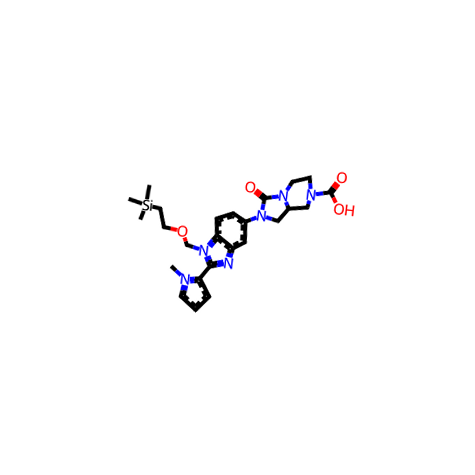 Cn1cccc1-c1nc2cc(N3CC4CN(C(=O)O)CCN4C3=O)ccc2n1COCC[Si](C)(C)C